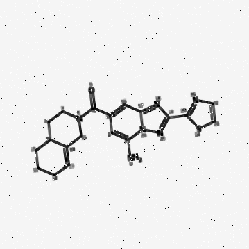 Nc1cc(C(=O)N2CCC3CCCC=C3C2)cc2nc(-c3nccs3)nn12